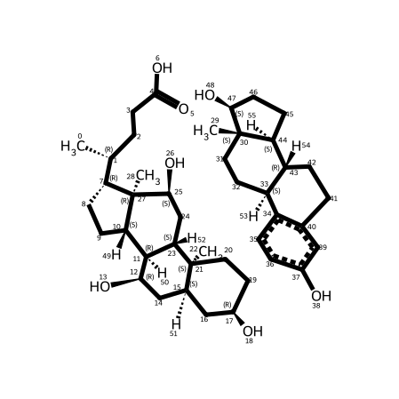 C[C@H](CCC(=O)O)[C@H]1CC[C@H]2[C@@H]3[C@H](O)C[C@@H]4C[C@H](O)CC[C@]4(C)[C@H]3C[C@H](O)[C@]12C.C[C@]12CC[C@@H]3c4ccc(O)cc4CC[C@H]3[C@@H]1CC[C@@H]2O